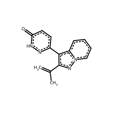 C=C(C)c1nn2ccccc2c1-c1ccc(=O)[nH]n1